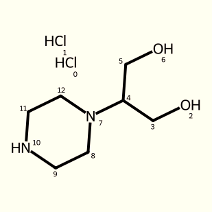 Cl.Cl.OCC(CO)N1CCNCC1